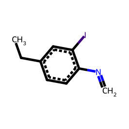 C=Nc1ccc(CC)cc1I